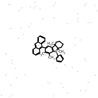 Cc1c(-c2c3ccccc3cc3ccccc23)cc2c(c1C)N(c1ccccc1)C1(C)CCCCC21C